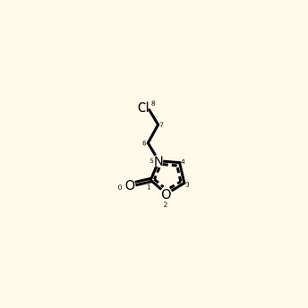 O=c1occn1CCCl